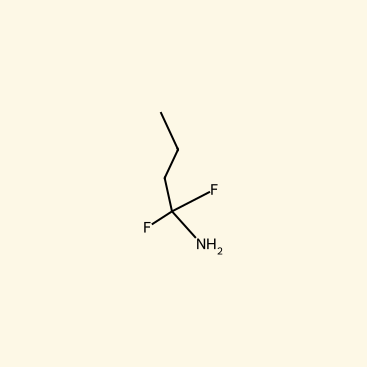 CCCC(N)(F)F